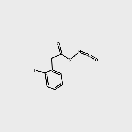 O=C=NSC(=O)Cc1ccccc1F